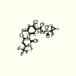 Cn1c(C(F)(F)F)cc(=O)n(-c2cc(C(=O)NS(=O)(=O)C3(F)CC3)c(Cl)cc2F)c1=O